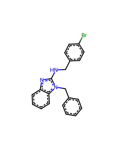 Brc1ccc(CNc2nc3ccccc3n2Cc2ccccc2)cc1